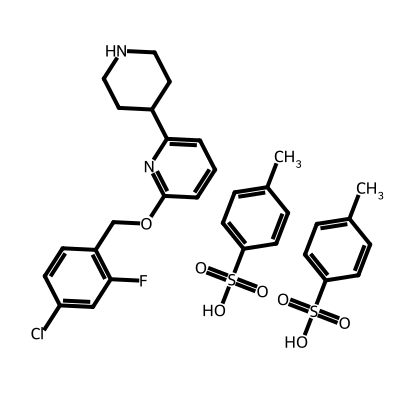 Cc1ccc(S(=O)(=O)O)cc1.Cc1ccc(S(=O)(=O)O)cc1.Fc1cc(Cl)ccc1COc1cccc(C2CCNCC2)n1